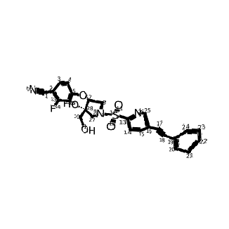 N#Cc1ccc(O[C@H]2CN(S(=O)(=O)c3ccc(C#Cc4ccccc4)cn3)C[C@@]2(O)CO)cc1F